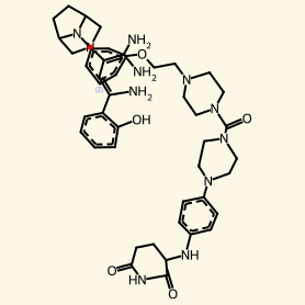 NC(N)=C(/C=C(\N)c1ccccc1O)N1CC2CCC(C1)N2c1cccc(OCCN2CCN(C(=O)N3CCN(c4ccc(NC5CCC(=O)NC5=O)cc4)CC3)CC2)c1